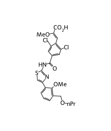 CCCOCc1cccc(-c2csc(NC(=O)c3cc(Cl)c(/C=C(\OC)C(=O)O)c(Cl)c3)n2)c1OC